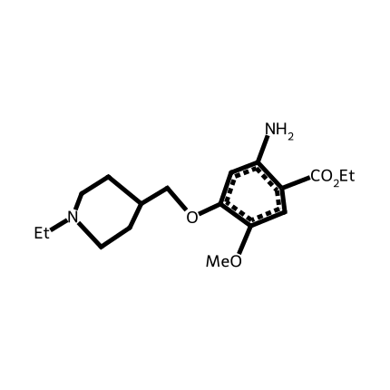 CCOC(=O)c1cc(OC)c(OCC2CCN(CC)CC2)cc1N